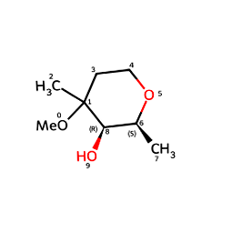 COC1(C)CCO[C@@H](C)[C@H]1O